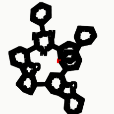 c1ccc(-c2ccc(-c3cc(-c4cccc5c4oc4c(-c6nc(-c7ccccc7)nc(-c7ccccc7)n6)cccc45)cc4c3oc3ccccc34)cc2)cc1